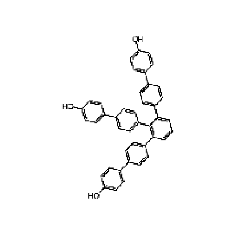 Oc1ccc(-c2ccc(-c3cccc(-c4ccc(-c5ccc(O)cc5)cc4)c3-c3ccc(-c4ccc(O)cc4)cc3)cc2)cc1